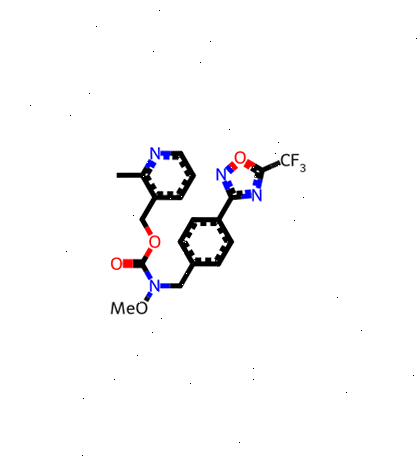 CON(Cc1ccc(-c2noc(C(F)(F)F)n2)cc1)C(=O)OCc1cccnc1C